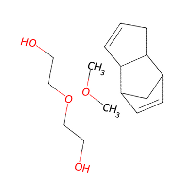 C1=CC2C3C=CC(C3)C2C1.COC.OCCOCCO